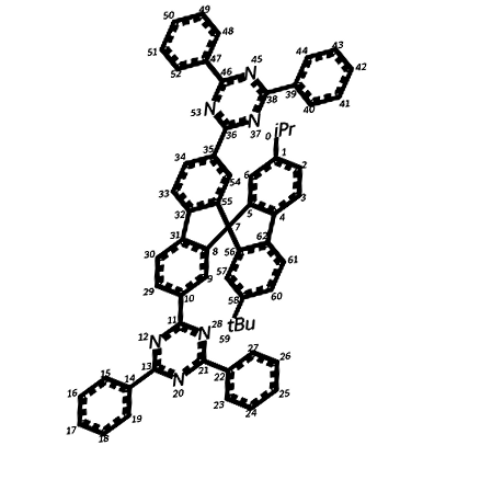 CC(C)c1ccc2c(c1)C1(c3cc(-c4nc(-c5ccccc5)nc(-c5ccccc5)n4)ccc3-c3ccc(-c4nc(-c5ccccc5)nc(-c5ccccc5)n4)cc31)c1cc(C(C)(C)C)ccc1-2